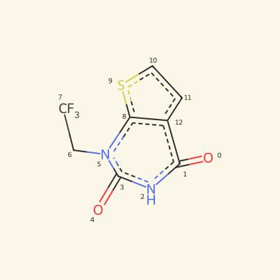 O=c1[nH]c(=O)n(CC(F)(F)F)c2sccc12